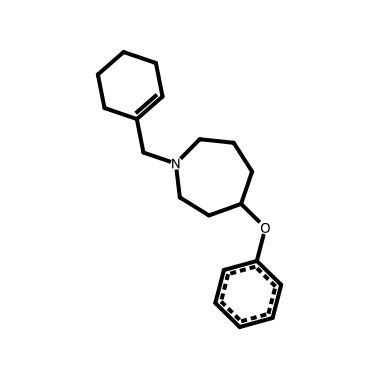 C1=C(CN2CCCC(Oc3ccccc3)CC2)CCCC1